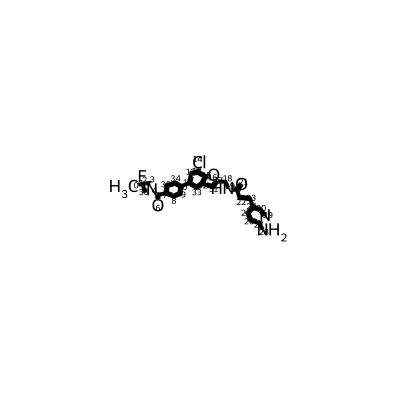 CC1(F)CN(C(=O)c2ccc(-c3cc(Cl)c4oc(CNC(=O)C=Cc5ccc(N)nc5)cc4c3)cc2)C1